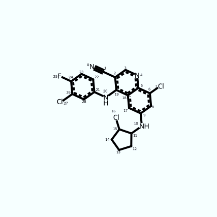 N#Cc1cnc2c(Cl)cc(NC3CCCC3Cl)cc2c1Nc1ccc(F)c(Cl)c1